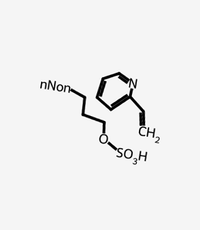 C=Cc1ccccn1.CCCCCCCCCCCCOS(=O)(=O)O